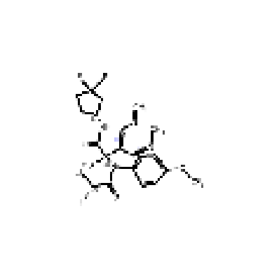 C=N/C=C(\C=N/C)[C@@](C)(C(=O)N[C@@H]1CCC(F)(F)C1)N(C(=O)[C@H](F)Cl)c1ccc(OC(F)(F)F)cc1